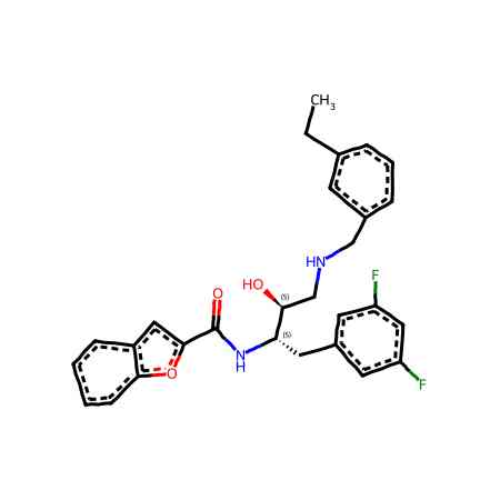 CCc1cccc(CNC[C@H](O)[C@H](Cc2cc(F)cc(F)c2)NC(=O)c2cc3ccccc3o2)c1